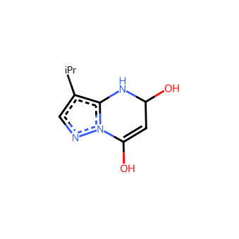 CC(C)c1cnn2c1NC(O)C=C2O